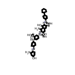 Nc1cc(O)ccc1/N=N/c1ccc(Nc2ccc(/N=N/c3c(S(=O)(=O)O)cc4cc(S(=O)(=O)O)c(/N=N/c5ccc(C6CCCCC6)cc5)c(O)c4c3N)cc2S(=O)(=O)O)cc1